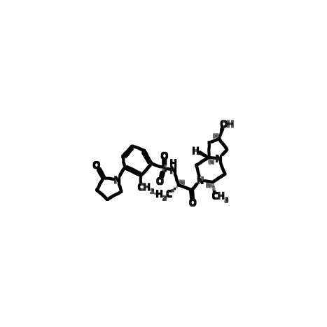 [CH2][C@H](NS(=O)(=O)c1cccc(N2CCCC2=O)c1C)C(=O)N1C[C@@H]2C[C@@H](O)CN2C[C@@H]1C